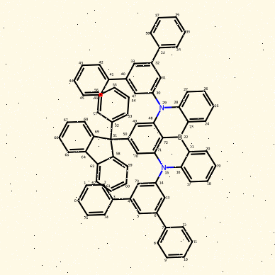 c1ccc(-c2cc(-c3ccccc3)cc(N3c4ccccc4B4c5ccccc5N(c5cc(-c6ccccc6)cc(-c6ccccc6)c5)c5cc(C6(c7ccccc7)c7ccccc7-c7ccccc76)cc3c54)c2)cc1